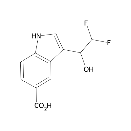 O=C(O)c1ccc2[nH]cc(C(O)C(F)F)c2c1